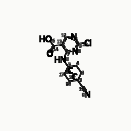 N#CC12CCC(Nc3nc(Cl)ncc3C(=O)O)(CC1)CC2